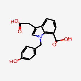 O=C(O)Cc1cn(Cc2ccc(O)cc2)c2c(C(=O)O)cccc12